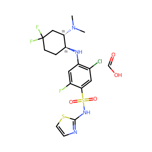 CN(C)[C@H]1CC(F)(F)CC[C@@H]1Nc1cc(F)c(S(=O)(=O)Nc2nccs2)cc1Cl.O=CO